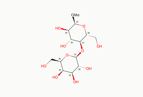 CO[C@H]1O[C@H](CO)[C@@H](O[C@@H]2O[C@H](CO)[C@H](O)[C@H](O)[C@H]2O)[C@H](O)[C@H]1O